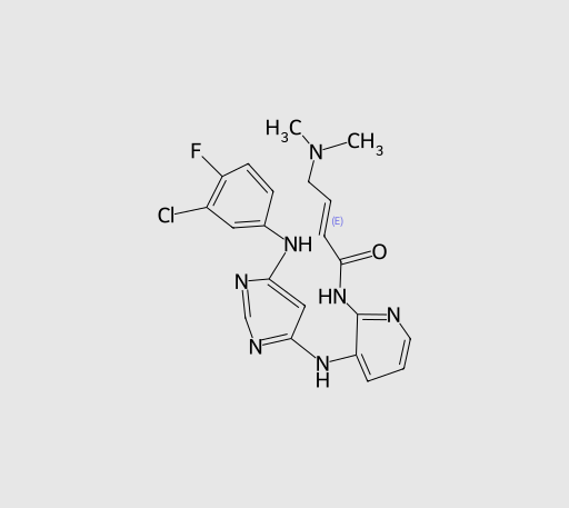 CN(C)C/C=C/C(=O)Nc1ncccc1Nc1cc(Nc2ccc(F)c(Cl)c2)ncn1